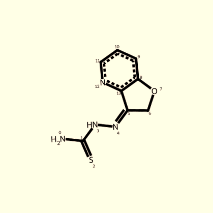 NC(=S)N/N=C1/COc2cccnc21